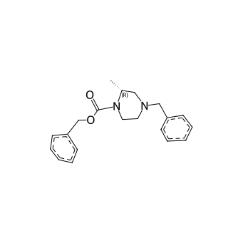 C[C@@H]1CN(Cc2ccccc2)CCN1C(=O)OCc1ccccc1